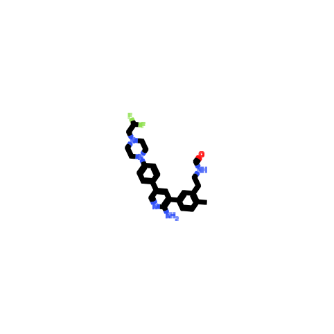 Cc1ccc(-c2cc(-c3ccc(N4CCN(CC(F)F)CC4)cc3)cnc2N)cc1CCNC=O